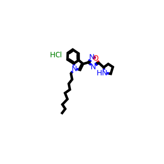 CCCCCCCCCn1cc(-c2noc(C3CCCN3)n2)c2ccccc21.Cl